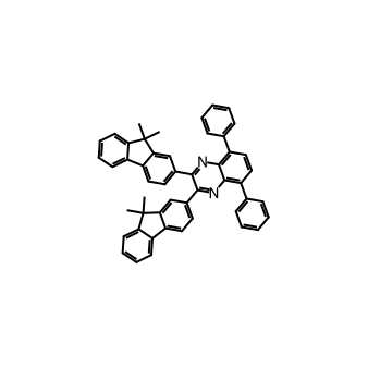 CC1(C)c2ccccc2-c2ccc(-c3nc4c(-c5ccccc5)ccc(-c5ccccc5)c4nc3-c3ccc4c(c3)C(C)(C)c3ccccc3-4)cc21